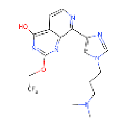 CN(C)CCCn1cnc(-c2nccc3c(O)nc(OCC(F)(F)F)nc23)c1